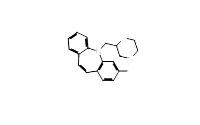 Clc1ccc2c(c1)N(CC1CNCCO1)c1ccccc1C=C2